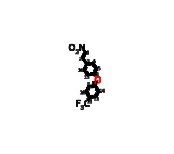 O=[N+]([O-])C=Cc1ccc(Oc2ccc(C(F)(F)F)cc2)cc1